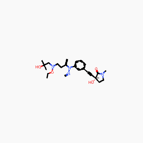 C=NN(C(=C)CCN(CC(C)(C)O)OCC)c1cccc(C#C[C@]2(O)CCN(C)C2=O)c1